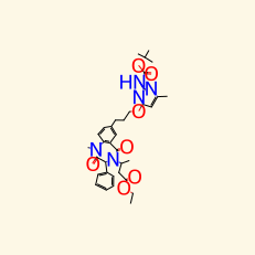 CCOC(=O)CC(C)N1C(=O)c2cc(CCCOc3cc(C)nc(NC(=O)OC(C)(C)C)n3)ccc2N(C)C(=O)C1c1ccccc1